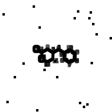 O=C1CC(Cc2ccccc2)CCO1